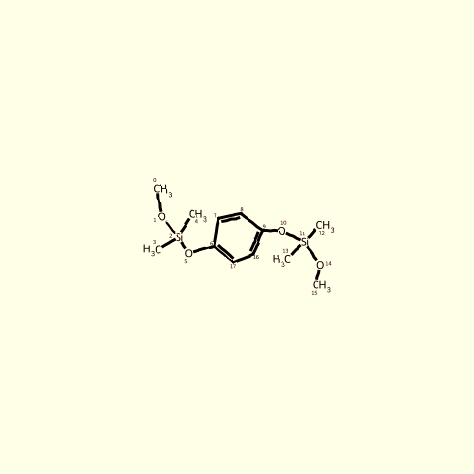 CO[Si](C)(C)Oc1ccc(O[Si](C)(C)OC)cc1